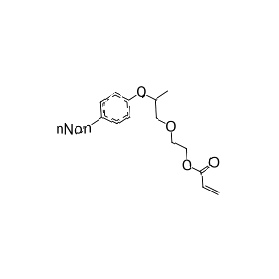 C=CC(=O)OCCOCC(C)Oc1ccc(CCCCCCCCC)cc1